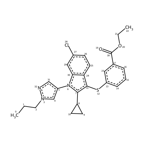 CCCn1cc(-n2c(C3CC3)c(Sc3cccc(C(=O)OCC)c3)c3ccc(Cl)cc32)cn1